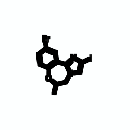 CC1Cn2cc(I)nc2-c2cc(Br)ccc2O1